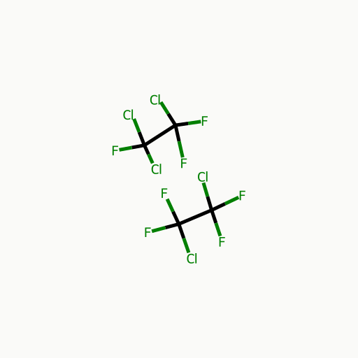 FC(F)(Cl)C(F)(Cl)Cl.FC(F)(Cl)C(F)(F)Cl